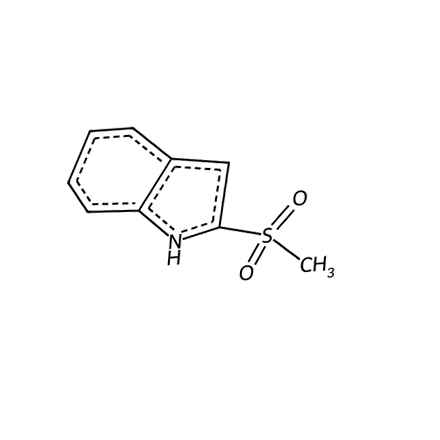 CS(=O)(=O)c1cc2ccccc2[nH]1